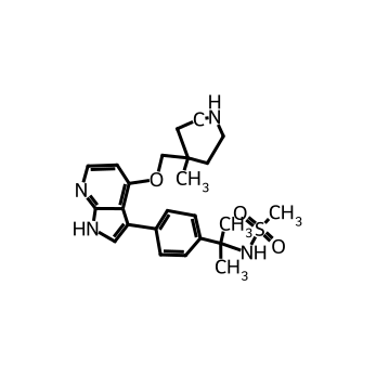 CC1(COc2ccnc3[nH]cc(-c4ccc(C(C)(C)NS(C)(=O)=O)cc4)c23)CCNCC1